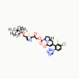 CC(C)(C)[Si](C)(C)OCc1cnc(C(=O)COC(=O)[C@@H]2CC[C@@H]3CC(c4c(-n5cnnn5)ccc(Cl)c4F)=CC(=O)N32)s1